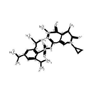 Cc1c(=O)n(C2CC2)cc2c(OS(=O)(=O)c3c(C(C)C)cc(C(C)C)cc3C(C)C)nn(C)c(=O)c12